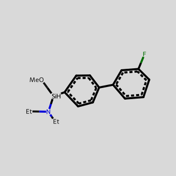 CCN(CC)[SiH](OC)c1ccc(-c2cccc(F)c2)cc1